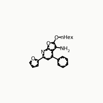 CCCCCCOc1oc2nc(-c3ccco3)cc(-c3ccccc3)c2c1N